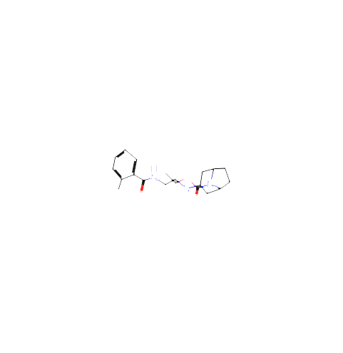 CCOC(=O)N1C2CCC1CC(NCCNC(=O)c1ccccc1C)C2